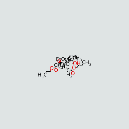 CCC(C)=O.CCCCOC(C)=O.CCCOC(C)=O.CCOC(C)=O.COCC(C)O